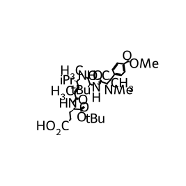 CNC(C(=O)N[C@H](C(=O)N(C)[C@H](/C=C(\C)C(=O)N[C@H](CCC(=O)O)C(=O)OC(C)(C)C)C(C)C)C(C)(C)C)C(C)(C)c1ccc(C(=O)OC)cc1